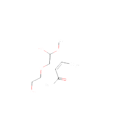 CCCOC(O)COCCO.COC(=O)/C=C\C(=O)O